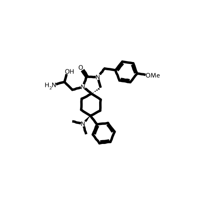 COc1ccc(CN2C[C@]3(CC[C@](c4ccccc4)(N(C)C)CC3)N(CC(N)O)C2=O)cc1